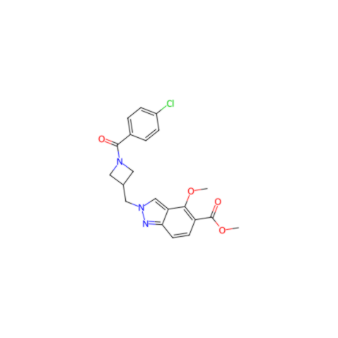 COC(=O)c1ccc2nn(CC3CN(C(=O)c4ccc(Cl)cc4)C3)cc2c1OC